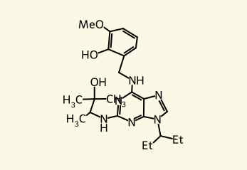 CCC(CC)n1cnc2c(NCc3cccc(OC)c3O)nc(NC(C)C(C)(C)O)nc21